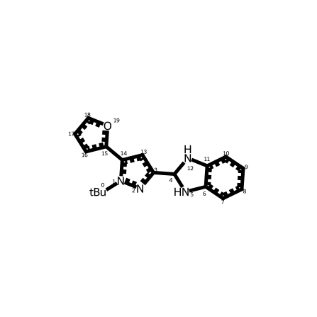 CC(C)(C)n1nc(C2Nc3ccccc3N2)cc1-c1ccco1